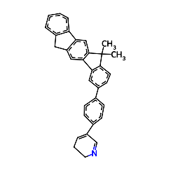 CC1(C)c2ccc(-c3ccc(C4=CCCN=C4)cc3)cc2-c2cc3c(cc21)-c1ccccc1C3